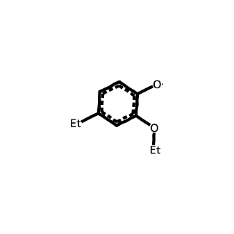 CCOc1cc(CC)ccc1[O]